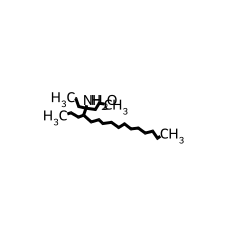 CCCCCCCCCCCCC(CCC)C(N)(CCC)CCC.O